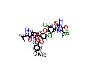 COc1ccc(COc2ccc(Oc3c(Cl)cc(-n4nc(C(F)F)c(=O)[nH]c4=O)cc3Cl)cc2S(=O)(=O)NC2(C(=O)NC3CC3)CC2)cc1